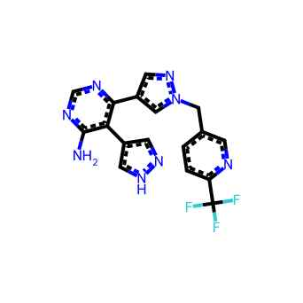 Nc1ncnc(-c2cnn(Cc3ccc(C(F)(F)F)nc3)c2)c1-c1cn[nH]c1